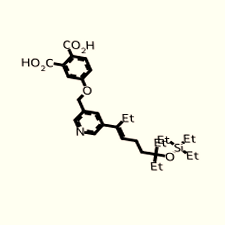 CC/C(=C\CCC(CC)(CC)O[Si](CC)(CC)CC)c1cncc(COc2ccc(C(=O)O)c(C(=O)O)c2)c1